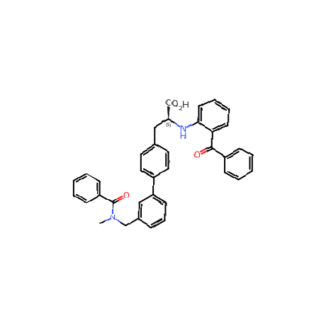 CN(Cc1cccc(-c2ccc(C[C@H](Nc3ccccc3C(=O)c3ccccc3)C(=O)O)cc2)c1)C(=O)c1ccccc1